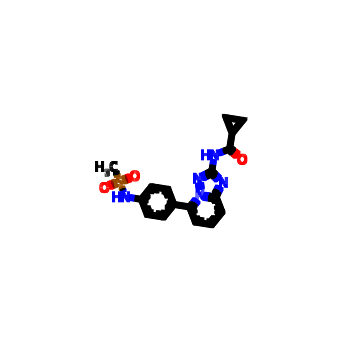 CS(=O)(=O)Nc1ccc(-c2cccc3nc(NC(=O)C4CC4)nn23)cc1